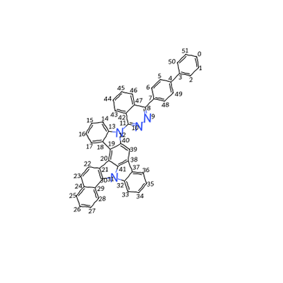 c1ccc(-c2ccc(-c3nnc(-n4c5ccccc5c5c6c7ccc8ccccc8c7n7c8ccccc8c(cc54)c67)c4ccccc34)cc2)cc1